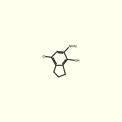 CC(=O)Nc1cc(Cl)c2c(c1O)CCC2